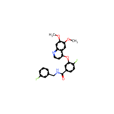 COc1cc2nccc(Oc3cc(C(=O)NCc4cccc(F)c4)ccc3F)c2cc1OC